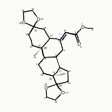 COC(=O)/C=C1\CC2C(CC[C@@]3(C)C2CCC32OCCO2)[C@@]2(C)CCC3(CC12)OCCO3